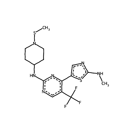 CNc1ncc(-c2nc(NC3CCN(SC)CC3)ncc2C(F)(F)F)s1